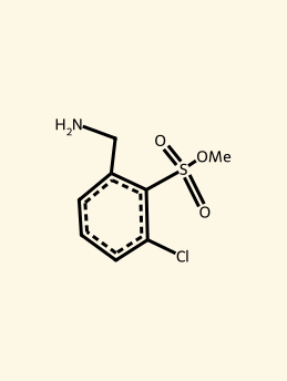 [CH2]OS(=O)(=O)c1c(Cl)cccc1CN